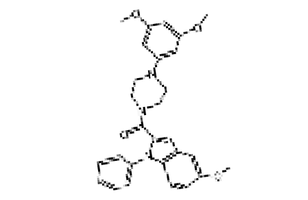 COc1cc(OC)cc(N2CCN(C(=O)c3cc4cc(OC)ccc4n3-c3ccccc3)CC2)c1